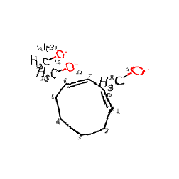 C1=CCCCCC=C1.C[O-].C[O-].C[O-].[Ir+3]